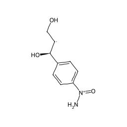 N[N+](=O)c1ccc([C@@H](O)[CH]CO)cc1